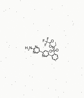 CCN(OC(=O)C(F)(F)F)S(=O)(=O)c1ccccc1-c1ccc(-c2cnc(N)nc2)nc1